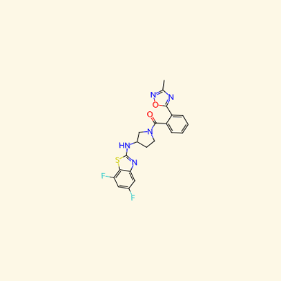 Cc1noc(-c2ccccc2C(=O)N2CCC(Nc3nc4cc(F)cc(F)c4s3)C2)n1